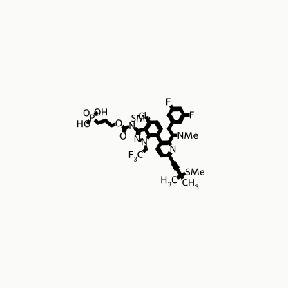 CNC(Cc1cc(F)cc(F)c1)c1nc(C#CC(C)(C)SC)ccc1-c1ccc(Cl)c2c(N(SC)C(=O)OCCCP(=O)(O)O)nn(CC(F)(F)F)c12